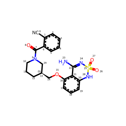 N#Cc1ccccc1C(=O)N1CCC[C@H](COc2cccc3c2C(N)=NS(=O)(=O)N3)C1